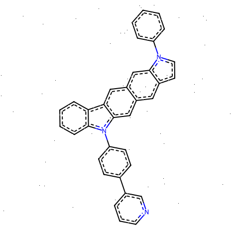 c1ccc(-n2ccc3cc4cc5c(cc4cc32)c2ccccc2n5-c2ccc(-c3cccnc3)cc2)cc1